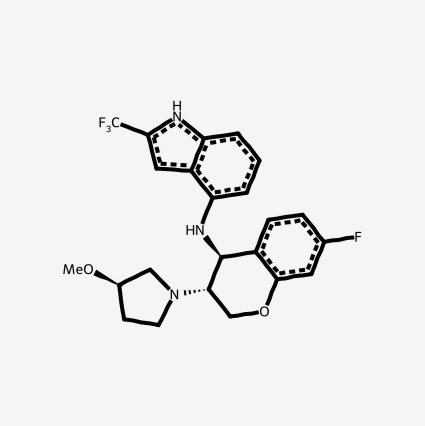 CO[C@@H]1CCN([C@H]2COc3cc(F)ccc3[C@@H]2Nc2cccc3[nH]c(C(F)(F)F)cc23)C1